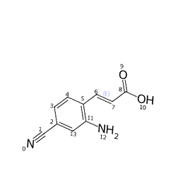 N#Cc1ccc(/C=C/C(=O)O)c(N)c1